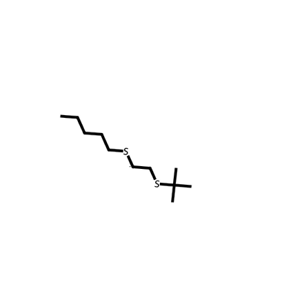 CCCCCS[CH]CSC(C)(C)C